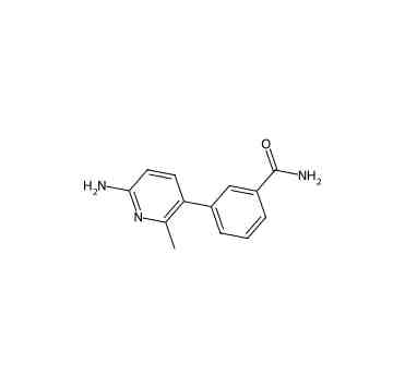 Cc1nc(N)ccc1-c1cccc(C(N)=O)c1